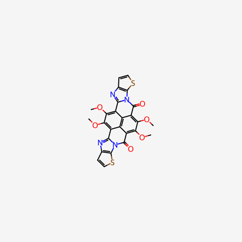 COc1c(OC)c2c(=O)n3c(nc4ccsc43)c3c(OC)c(OC)c4c(c1c(=O)n1c4nc4ccsc41)c23